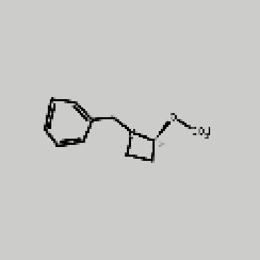 O=C(O)O[C@H]1CCN1Cc1ccccc1